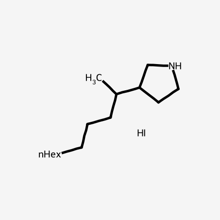 CCCCCCCCCC(C)C1CCNC1.I